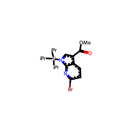 COC(=O)c1cn([Si](C(C)C)(C(C)C)C(C)C)c2nc(Br)ccc12